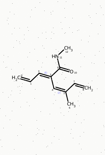 C=C/C=C(\C=C(\C)C=C)C(=O)NC